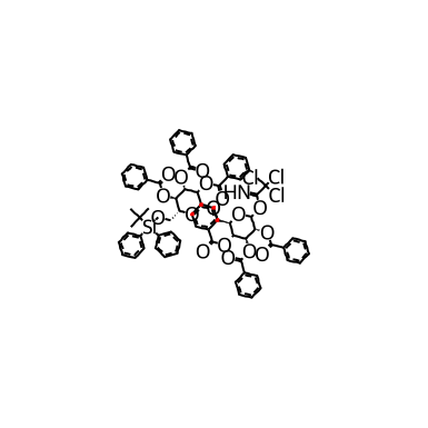 CC(C)(C)[Si](OC[C@H]1O[C@@H](OC[C@H]2OC(OC(=N)C(Cl)(Cl)Cl)[C@H](OC(=O)c3ccccc3)[C@@H](OC(=O)c3ccccc3)[C@@H]2OC(=O)c2ccccc2)[C@H](OC(=O)c2ccccc2)[C@@H](OC(=O)c2ccccc2)[C@@H]1OC(=O)c1ccccc1)(c1ccccc1)c1ccccc1